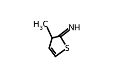 CC1C=CSC1=N